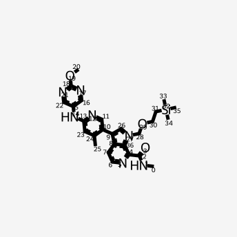 CNC(=O)c1nccc2c(-c3cnc(Nc4cnc(OC)nc4)cc3C)cn(COCC[Si](C)(C)C)c12